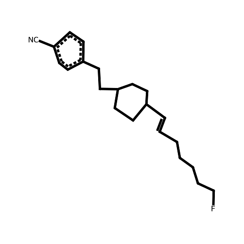 N#Cc1ccc(CCC2CCC(C=CCCCCCF)CC2)cc1